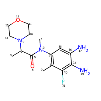 Cc1c(N(C)C(=O)C(C)N2CCOCC2)cc(N)c(N)c1F